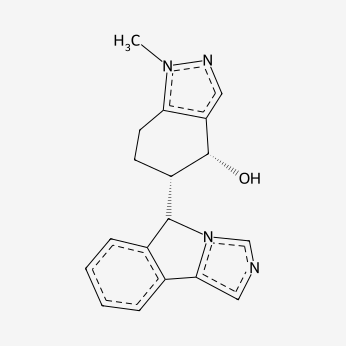 Cn1ncc2c1CC[C@@H](C1c3ccccc3-c3cncn31)[C@H]2O